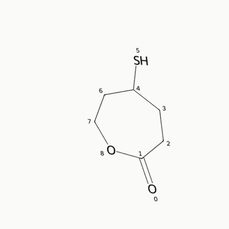 O=C1CCC(S)CCO1